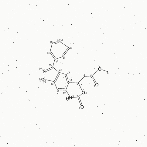 COC(=O)CC1OC(=O)Nc2cc3[nH]nc(-c4ccncc4)c3cc21